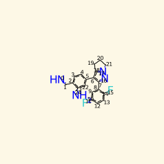 N=Cc1ccc(-c2c(-c3cc(F)ccc3F)nn3c2CCC3)cc1N